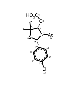 CC(=O)N1[C@@H](OC(=O)O)C(C)(C)S[C@H]1c1ccc(Cl)cc1